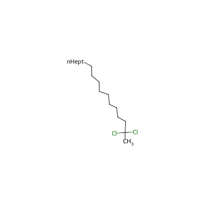 CCCCCCCCCCCCCCCCC(C)(Cl)Cl